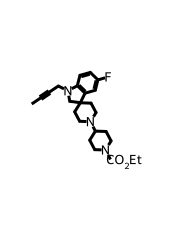 CC#CCN1CC2(CCN(C3CCN(C(=O)OCC)CC3)CC2)c2cc(F)ccc21